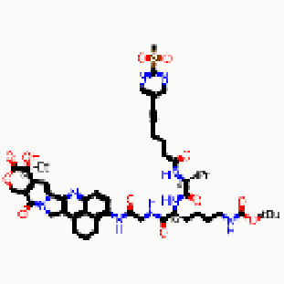 CC[C@@]1(O)C(=O)OCc2c1cc1n(c2=O)Cc2c-1nc1ccc(NC(=O)CNC(=O)[C@H](CCCCNC(=O)OC(C)(C)C)NC(=O)[C@@H](NC(=O)CCCC#Cc3cnc(S(C)(=O)=O)nc3)C(C)C)c3c1c2CCC3